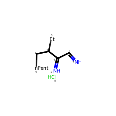 CCCCCCC(CC)C(=N)C=N.Cl